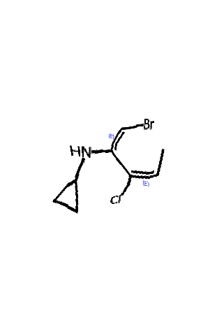 C/C=C(Cl)\C(=C/Br)NC1CC1